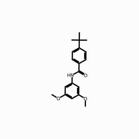 COc1cc(NC(=O)c2ccc(C(C)(C)C)cc2)cc(OC)c1